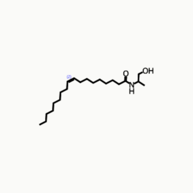 CCCCCCCC/C=C\CCCCCCCC(=O)NC(C)CO